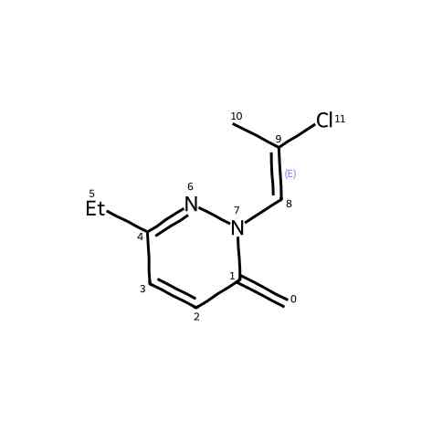 C=C1C=CC(CC)=NN1/C=C(\C)Cl